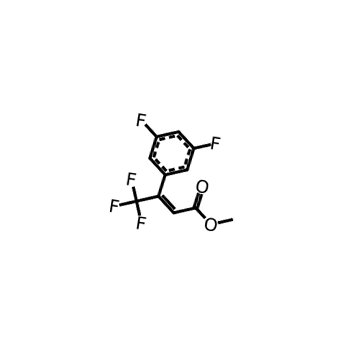 COC(=O)/C=C(\c1cc(F)cc(F)c1)C(F)(F)F